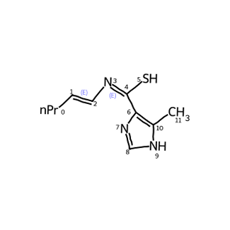 CCC/C=C/N=C(/S)c1nc[nH]c1C